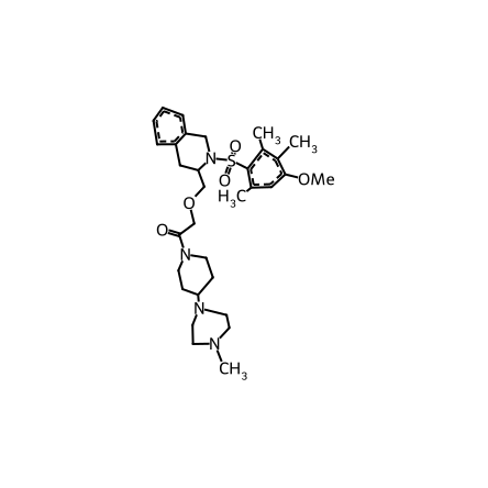 COc1cc(C)c(S(=O)(=O)N2Cc3ccccc3CC2COCC(=O)N2CCC(N3CCN(C)CC3)CC2)c(C)c1C